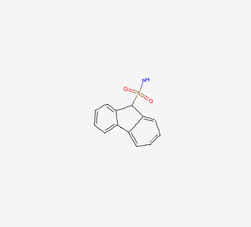 [NH]S(=O)(=O)C1c2ccccc2-c2ccccc21